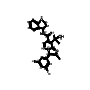 Cc1nc2c(C(C)(C)O)c(C(=O)NC3CCOc4ccccc43)cnn2c1-c1cc(F)cc(F)c1